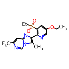 CCS(=O)(=O)c1cc(OCC(F)(F)F)cnc1-c1nc2cc(C(F)(F)F)ncn2c1C